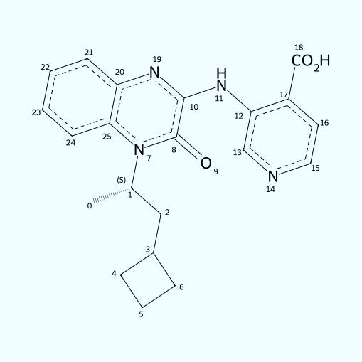 C[C@@H](CC1CCC1)n1c(=O)c(Nc2cnccc2C(=O)O)nc2ccccc21